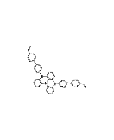 C=Cc1ccc(-c2ccc(B3c4ccccc4N4c5ccccc5B(c5ccc(-c6ccc(C=C)cc6)cc5)c5cccc3c54)cc2)cc1